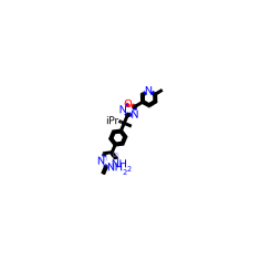 C=C(N)/N=C\C(=C/N)c1ccc(C(C)(c2noc(-c3ccc(C)nc3)n2)C(C)C)cc1